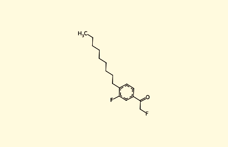 CCCCCCCCCc1ccc(C(=O)CF)cc1F